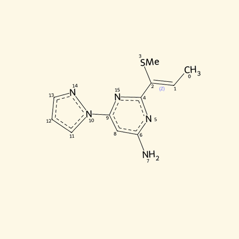 C/C=C(\SC)c1nc(N)cc(-n2cccn2)n1